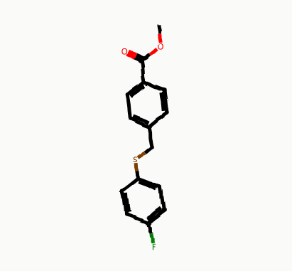 COC(=O)c1ccc(CSc2ccc(F)cc2)cc1